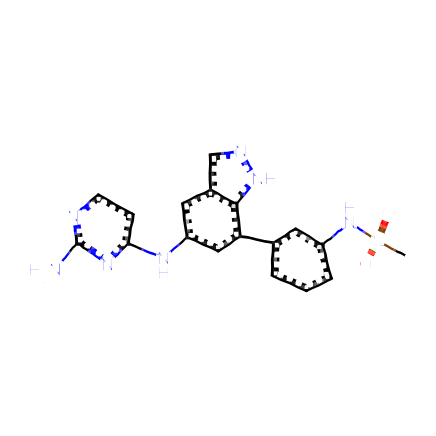 CS(=O)(=O)Nc1cccc(-c2cc(Nc3ccnc(N)n3)cc3cn[nH]c23)c1